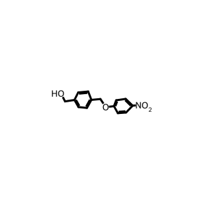 O=[N+]([O-])c1ccc(OCc2ccc(CO)cc2)cc1